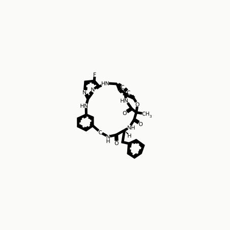 CC12Oc3ccc(cc3NC1=O)Nc1nc(ncc1F)Nc1cccc(c1)CNC(=O)[C@H](Cc1ccccc1)NC2=O